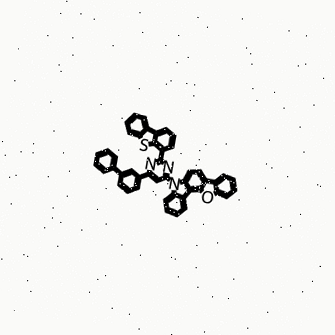 c1ccc(-c2cccc(-c3cc(-n4c5ccccc5c5c6oc7ccccc7c6ccc54)nc(-c4cccc5c4sc4ccccc45)n3)c2)cc1